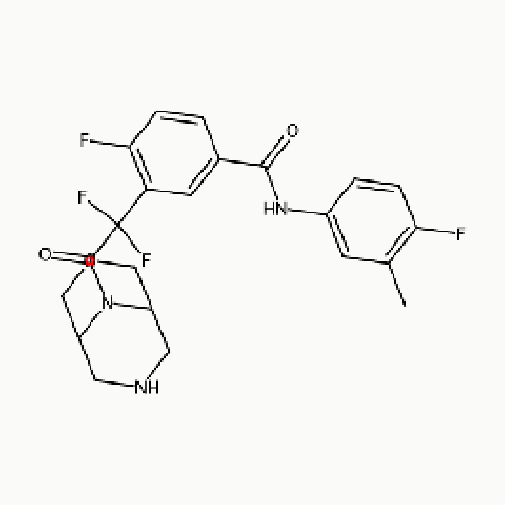 Cc1cc(NC(=O)c2ccc(F)c(C(F)(F)C(=O)N3C4CNCC3COC4)c2)ccc1F